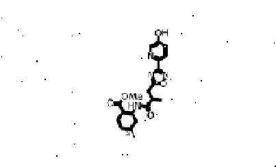 COC(=O)C1=C(NC(=O)C(C)Cc2nc(-c3ccc(O)cn3)no2)C[C@@H](C)CC1